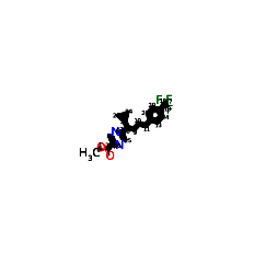 COC(=O)c1cnc(C(CCCc2ccc(C(F)(F)F)cc2)C2CC2)cn1